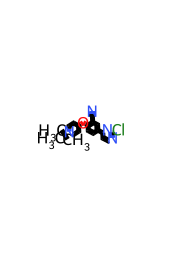 CC(C)(C)N1CCC(Oc2ccc(-c3ccnc(Cl)n3)cc2C#N)CC1